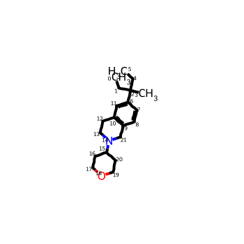 CCC(C)(CC)c1ccc2c(c1)CCN(C1CCOCC1)C2